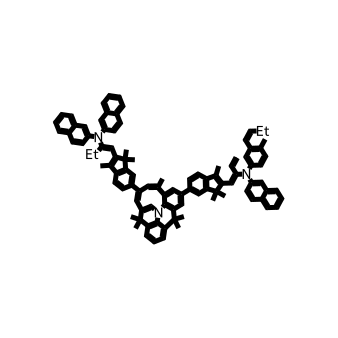 C=C/C(=C\C1=C(C)c2ccc(-c3cc4c5c(c3)c(C)cc(-c3ccc6c(c3)C(C)(C)C(/C=C(\CC)N(c3ccc7ccccc7c3)c3ccc7ccccc7c3)=C6C)cc3cn5-c5c(cccc5C4(C)C)C3(C)C)cc2C1(C)C)N(c1ccc(C)c(/C=C\CC)c1)c1ccc2ccccc2c1